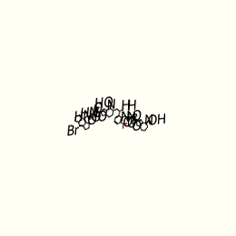 CC(C)c1cccc(C(C)CC2CCc3oc(S(=O)(=O)NC(=O)Nc4c5c(c(Br)c6c4CCC6)CCC5)cc3/C2=N\O)c1NC(=O)NS(=O)(=O)c1cc2c(o1)CCC/C2=N\O